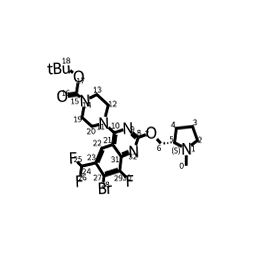 CN1CCC[C@H]1COc1nc(N2CCN(C(=O)OC(C)(C)C)CC2)c2cc(C(F)F)c(Br)c(F)c2n1